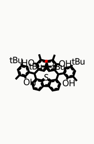 Cc1cc(C(C)(C)C)cc(C(c2cc(C(C)(C)C)cc(C)c2O)c2cccc3c2sc2c(C(c4cc(C(C)(C)C)cc(C)c4O)c4cc(C(C)(C)C)cc(C)c4O)cccc23)c1O